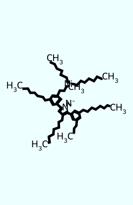 CCCCCCCCC1=C(c2cc(CCCC)cc(CCCCCCCC)c2)[N+](=[N-])C(c2cc(CCCC)cc(CCCCCCCC)c2)=C1.CCCCCCC[CH2][Ni][CH2]CCCCCCC